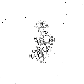 CC1C2=Cc3cc4c5c(c3OC2CCNc2ccc(C(C)(C)C)cc2C1(C)CCCCC(=O)ON(N)c1ccccc1N)CCCN5CCC4